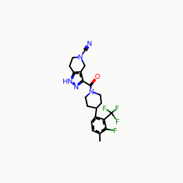 Cc1ccc(C2CCN(C(=O)c3n[nH]c4c3CN(C#N)CC4)CC2)c(C(F)(F)F)c1F